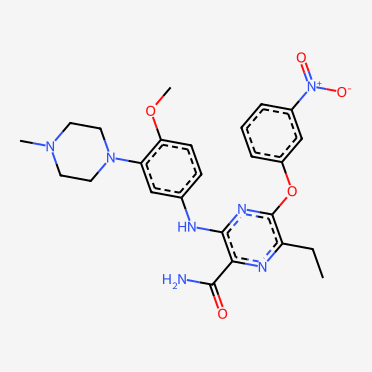 CCc1nc(C(N)=O)c(Nc2ccc(OC)c(N3CCN(C)CC3)c2)nc1Oc1cccc([N+](=O)[O-])c1